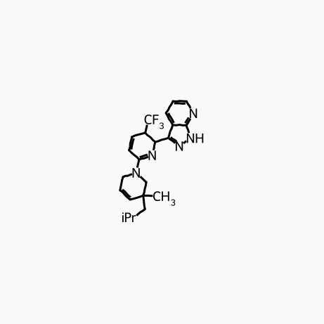 CC(C)CC1(C)C=CCN(C2=NC(c3n[nH]c4ncccc34)C(C(F)(F)F)C=C2)C1